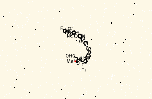 CNC(=O)C(CCC=O)N(C=O)Cc1cc(N2CCC(CN3CCN(c4ccc(-n5cnc6ccc(Oc7c(F)ccc(N[S+]([O-])N8CCC(F)C8)c7C#N)cc6c5=O)cc4)CC3)CC2)ccc1C